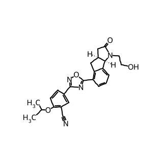 CC(C)Oc1ccc(-c2noc(-c3cccc4c3C[C@H]3CC(=O)N(CCO)[C@@H]43)n2)cc1C#N